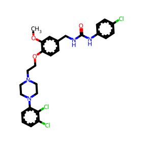 COc1cc(CNC(=O)Nc2ccc(Cl)cc2)ccc1OCCN1CCN(c2cccc(Cl)c2Cl)CC1